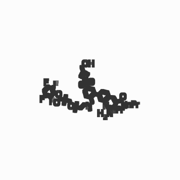 CCCN(CCC)C(=O)C1=Cc2ccc(-c3cc(S(=O)(=O)N4CC(CO)C4)ccc3CN(C)CCC(C)(C)OCC(C)(C)C(=O)Oc3c(F)c(F)cc(F)c3F)cc2N=C(N)C1